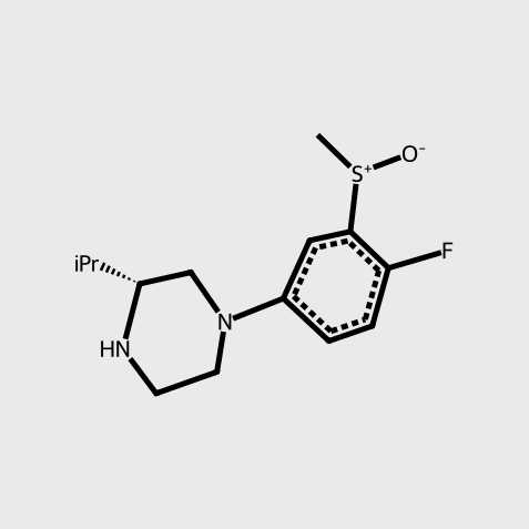 CC(C)[C@@H]1CN(c2ccc(F)c([S+](C)[O-])c2)CCN1